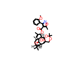 COc1ccccc1-c1noc(C)c1C(=O)O[C@H]1C(C)=C[C@]23C(=O)[C@@H](C=C4COC(C)(C)O[C@H]4[C@]12O)[C@H]1[C@@H](C[C@H]3C)C1(C)C